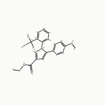 CCOC(=O)c1cc(-c2ccc(OC)cc2)n(-c2ncccc2C(F)(F)F)n1